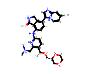 C[C@@H](OC[C@H]1COCCO1)c1ccc(Nc2ccc(-c3cnc4cc(F)ccn34)c3c2C(=O)NC3)nc1CN(C)C